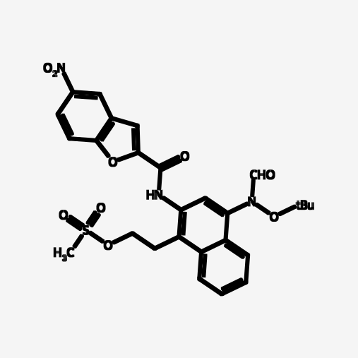 CC(C)(C)ON(C=O)c1cc(NC(=O)c2cc3cc([N+](=O)[O-])ccc3o2)c(CCOS(C)(=O)=O)c2ccccc12